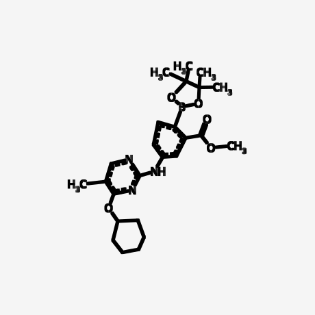 COC(=O)c1cc(Nc2ncc(C)c(OC3CCCCC3)n2)ccc1B1OC(C)(C)C(C)(C)O1